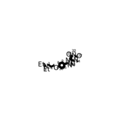 CCN(CC)CCCOc1ccc(-c2nnc3c(n2)c(=O)n(C)c(=O)n3C)cc1